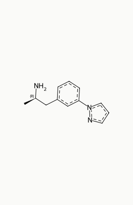 C[C@@H](N)Cc1cccc(-n2cccn2)c1